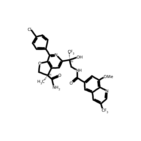 COc1cc(C(=O)NC[C@](O)(c2cc3c(c(-c4ccc(Cl)cc4)n2)OC[C@]3(C)C(N)=O)C(F)(F)F)cc2cc(C(F)(F)F)cnc12